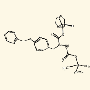 CC(C)(C)OC(=O)NC(Cc1ccc(OCc2ccccc2)cc1)C(=O)O[C@H]1CN2CCC1CC2